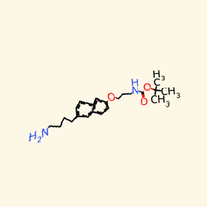 CC(C)(C)OC(=O)NCCCOc1ccc2cc(CCCCN)ccc2c1